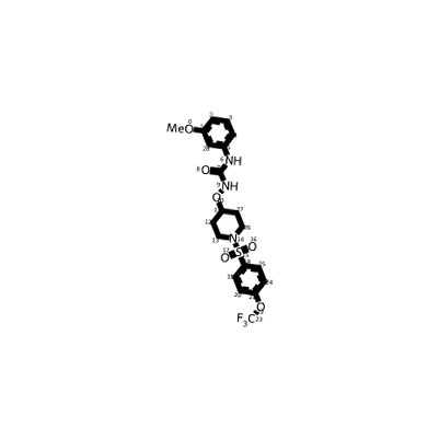 COc1cccc(NC(=O)NOC2CCN(S(=O)(=O)c3ccc(OC(F)(F)F)cc3)CC2)c1